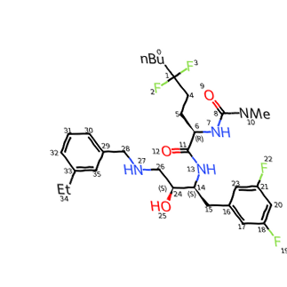 CCCCC(F)(F)CC[C@@H](NC(=O)NC)C(=O)N[C@@H](Cc1cc(F)cc(F)c1)[C@@H](O)CNCc1cccc(CC)c1